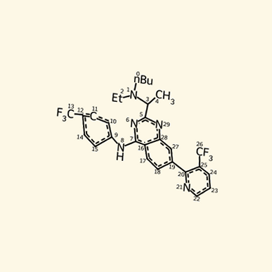 CCCCN(CC)C(C)c1nc(Nc2ccc(C(F)(F)F)cc2)c2ccc(-c3ncccc3C(F)(F)F)cc2n1